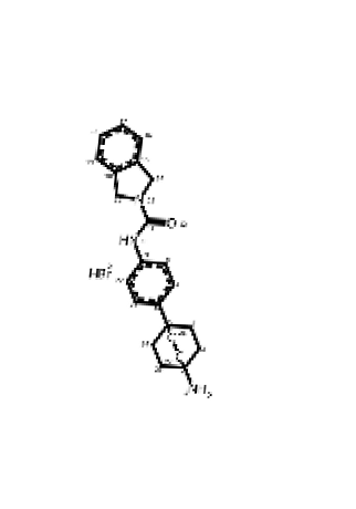 Br.NC12CCC(c3ccc(NC(=O)N4Cc5ccccc5C4)cc3)(CC1)CC2